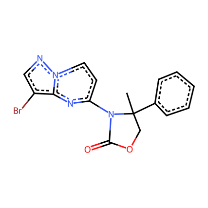 CC1(c2ccccc2)COC(=O)N1c1ccn2ncc(Br)c2n1